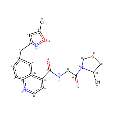 Cc1cc(Cc2ccc3nccc(C(=O)NCC(=O)N4CSCC4C#N)c3c2)no1